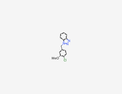 COc1cc(Cn2nnc3ccccc32)ccc1Cl